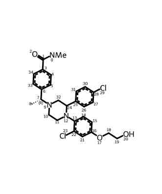 CNC(=O)c1ccc([C@@H](C)N2CCN(c3ccc(OCCO)cc3Cl)C(c3ccc(Cl)cc3)C2)cc1